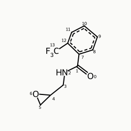 O=C(NCC1CO1)c1ccccc1C(F)(F)F